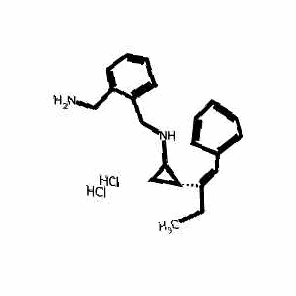 CCC(=Cc1ccccc1)[C@@H]1CC1NCc1ccccc1CN.Cl.Cl